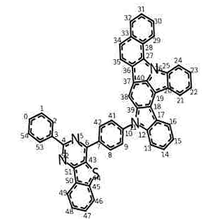 c1ccc(-c2nc(-c3ccc(-n4c5ccccc5c5c6c7ccccc7n7c8c9ccccc9ccc8c(cc54)c67)cc3)c3sc4ccccc4c3n2)cc1